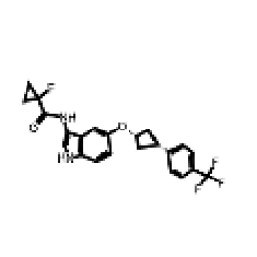 O=C(Nc1c[nH]c2ccc(O[C@H]3C[C@@H](c4ccc(C(F)(F)F)cc4)C3)cc12)C1(F)CC1